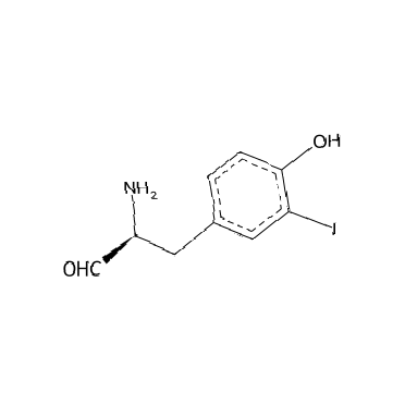 N[C@H](C=O)Cc1ccc(O)c(I)c1